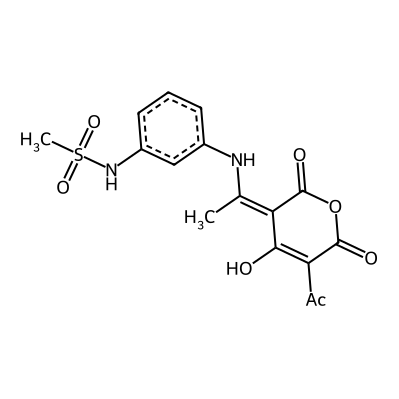 CC(=O)C1=C(O)/C(=C(\C)Nc2cccc(NS(C)(=O)=O)c2)C(=O)OC1=O